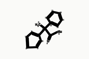 CC(C)(C)C(=O)C(C)(c1ccccc1)c1ccccc1